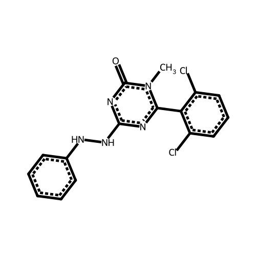 Cn1c(-c2c(Cl)cccc2Cl)nc(NNc2ccccc2)nc1=O